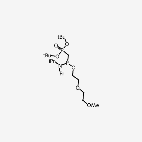 COCCOCCOP(CP(=O)(OC(C)(C)C)OC(C)(C)C)N(C(C)C)C(C)C